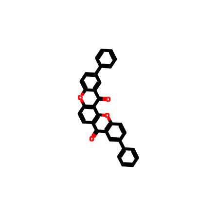 O=c1c2cc(-c3ccccc3)ccc2oc2c1ccc1oc3ccc(-c4ccccc4)cc3c(=O)c12